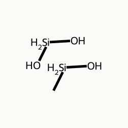 C[SiH2]O.O[SiH2]O